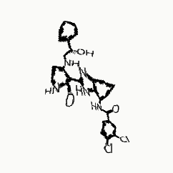 O=C(Nc1cccc2nc(-c3c(NC[C@@H](O)c4ccccc4)cc[nH]c3=O)[nH]c12)c1ccc(Cl)c(Cl)c1